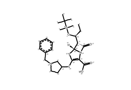 CC[C@H](O[Si](C)(C)C(C)(C)C)[C@@H]1C(=O)N2C(C(=O)O)=C(SC3CCN(Cc4ccccc4)C3)S[C@H]12